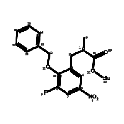 CN(Cc1cc([N+](=O)[O-])cc(F)c1OCc1ccccc1)C(=O)OC(C)(C)C